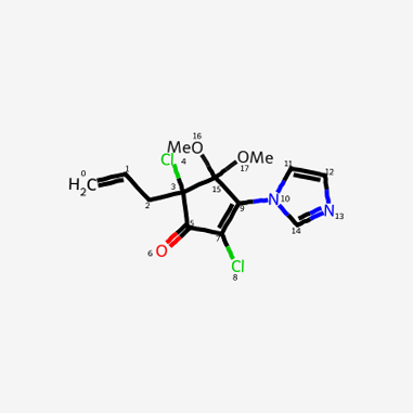 C=CCC1(Cl)C(=O)C(Cl)=C(n2ccnc2)C1(OC)OC